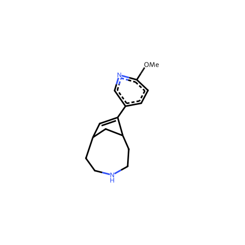 COc1ccc(C2=CC3CCNCCC2C3)cn1